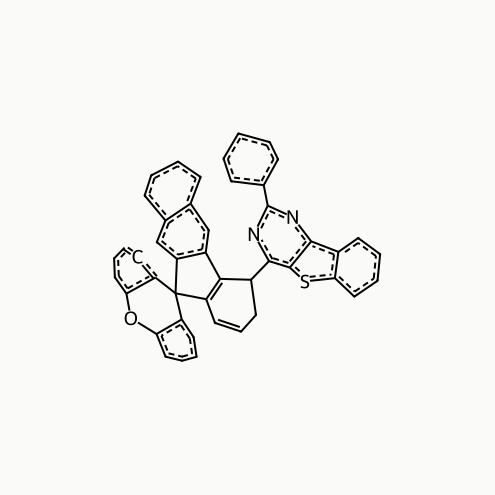 C1=CC2=C(c3cc4ccccc4cc3C23c2ccccc2Oc2ccccc23)C(c2nc(-c3ccccc3)nc3c2sc2ccccc23)C1